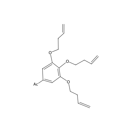 C=CCCOc1cc(C(C)=O)cc(OCCC=C)c1OCCC=C